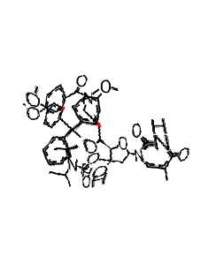 COc1ccc(C(=O)N(C)CCC(OC(c2ccccc2)(c2ccc(OC)cc2)c2ccc(OC)cc2)[C@H]2O[C@@H](n3cc(C)c(=O)[nH]c3=O)C[C@]2(O)OP(O)N(C(C)C)C(C)C)cc1